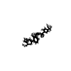 C=C1NC=C(c2cccc(NC(=O)c3ccc(C(C)(C)C)cc3)c2C)C=C1N